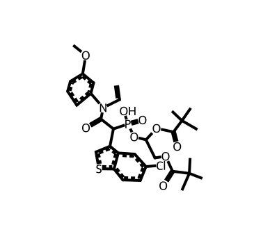 C=CN(C(=O)C(c1csc2ccc(Cl)cc12)P(=O)(O)OC(COC(=O)C(C)(C)C)OC(=O)C(C)(C)C)c1cccc(OC)c1